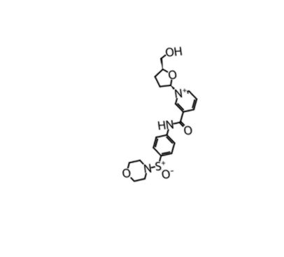 O=C(Nc1ccc([S+]([O-])N2CCOCC2)cc1)c1ccc[n+]([C@H]2CC[C@@H](CO)O2)c1